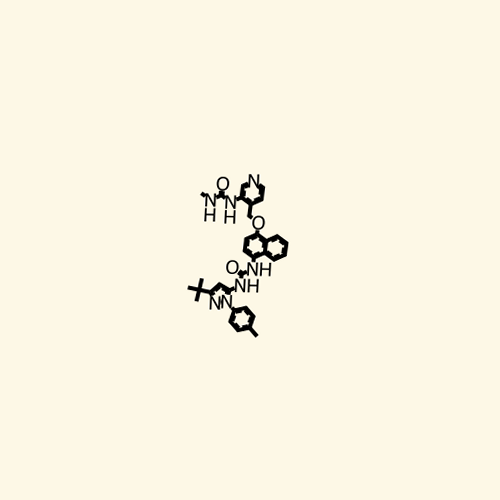 CNC(=O)Nc1cnccc1COc1ccc(NC(=O)Nc2cc(C(C)(C)C)nn2-c2ccc(C)cc2)c2ccccc12